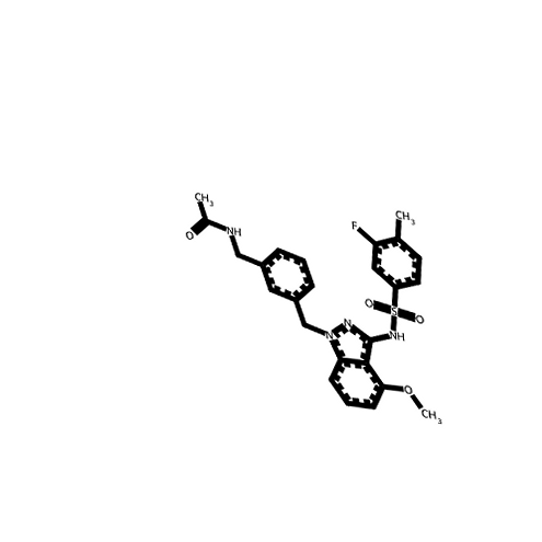 COc1cccc2c1c(NS(=O)(=O)c1ccc(C)c(F)c1)nn2Cc1cccc(CNC(C)=O)c1